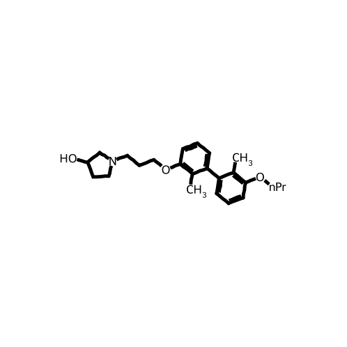 CCCOc1cccc(-c2cccc(OCCCN3CCC(O)C3)c2C)c1C